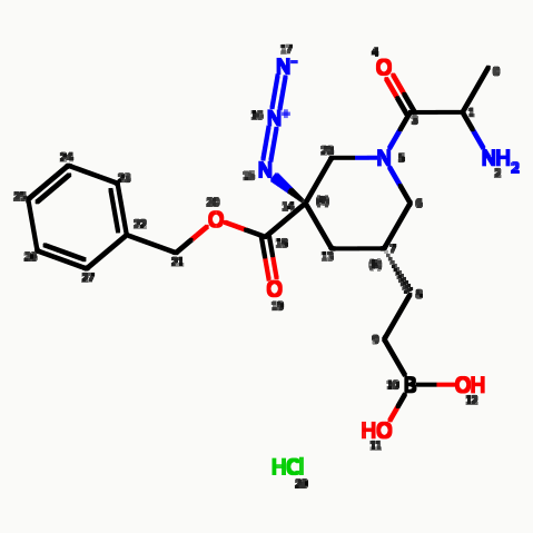 CC(N)C(=O)N1C[C@H](CCB(O)O)C[C@](N=[N+]=[N-])(C(=O)OCc2ccccc2)C1.Cl